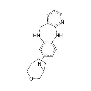 c1cnc2c(c1)CNc1cc(N3C4CCC3COC4)ccc1N2